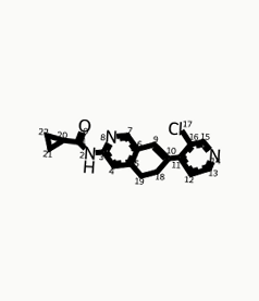 O=C(Nc1cc2c(cn1)C=C(c1ccncc1Cl)CC2)C1CC1